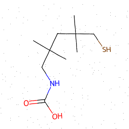 CC(C)(CS)CC(C)(C)CNC(=O)O